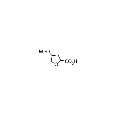 COC1COC(C(=O)O)C1